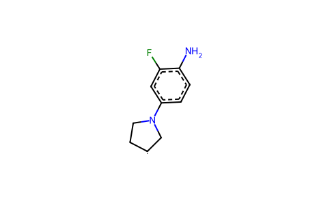 Nc1ccc(N2C[CH]CC2)cc1F